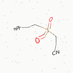 CCCCS(=O)(=O)CC#N